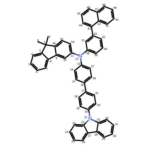 CC1(C)c2ccccc2-c2cc(N(c3ccc(-c4ccc(-n5c6ccccc6c6ccccc65)cc4)cc3)c3cccc(-c4cccc5ccccc45)c3)ccc21